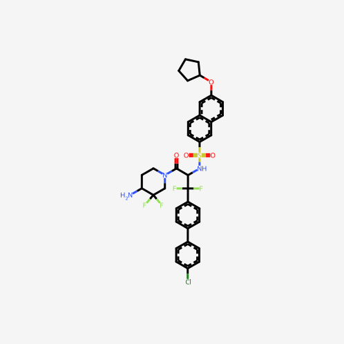 NC1CCN(C(=O)C(NS(=O)(=O)c2ccc3cc(OC4CCCC4)ccc3c2)C(F)(F)c2ccc(-c3ccc(Cl)cc3)cc2)CC1(F)F